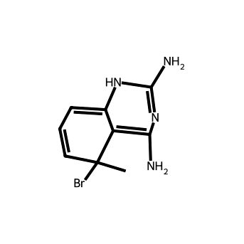 CC1(Br)C=CC=C2NC(N)=NC(N)=C21